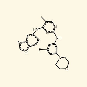 Cc1cnc(Nc2cc(F)cc(N3CCOCC3)c2)nc1Nc1ccc2ocnc2c1